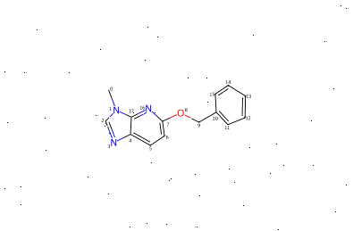 Cn1[c]nc2ccc(OCc3ccccc3)nc21